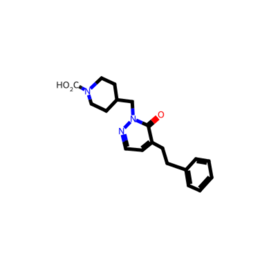 O=C(O)N1CCC(Cn2nccc(CCc3ccccc3)c2=O)CC1